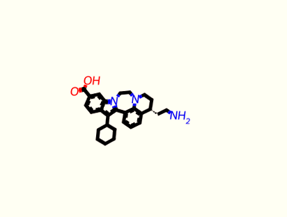 NCC[C@H]1CCN2CCn3c(c(C4CCCCC4)c4ccc(C(=O)O)cc43)-c3cccc1c32